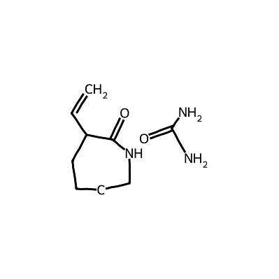 C=CC1CCCCNC1=O.NC(N)=O